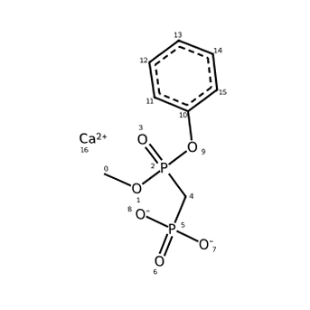 COP(=O)(CP(=O)([O-])[O-])Oc1ccccc1.[Ca+2]